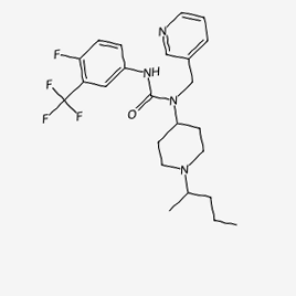 CCCC(C)N1CCC(N(Cc2cccnc2)C(=O)Nc2ccc(F)c(C(F)(F)F)c2)CC1